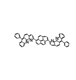 c1ccc(-c2c3ccccc3nc3c2ccc2ccc(-c4ccc5ccc6c(-c7ccc8ccc9c(-c%10ccccc%10)c%10ccccc%10nc9c8n7)ccc7ccc4c5c76)nc23)cc1